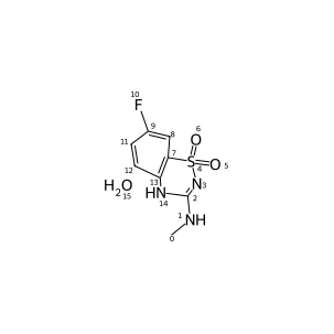 CNC1=NS(=O)(=O)c2cc(F)ccc2N1.O